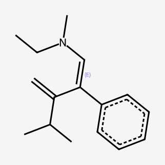 C=C(/C(=C\N(C)CC)c1ccccc1)C(C)C